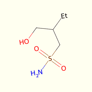 CCC(CO)CS(N)(=O)=O